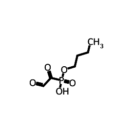 CCCCOP(=O)(O)C(=O)C=O